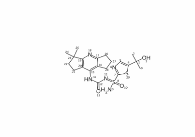 CC(C)(O)c1cnc(S(N)(=O)=NC(=O)Nc2c3c(nc4c2CCC4(C)C)CCC3)s1